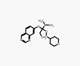 CCC(OOC1CCOCC1)(Oc1ccc2cncnc2c1)N(C)C